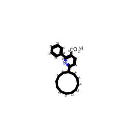 O=C(O)c1ccc(C2CCCCCCCCCCC2)nc1-c1ccccc1